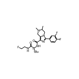 CC1Cn2c(-c3ccc(F)c(F)c3)nc(C(=O)N[C@H](C(=O)NCCF)C(C)(C)C)c2CN1C